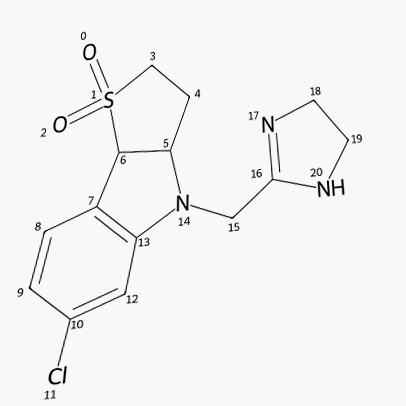 O=S1(=O)CCC2C1c1ccc(Cl)cc1N2CC1=NCCN1